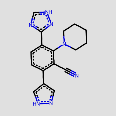 N#Cc1c(-c2cn[nH]c2)ccc(-c2nc[nH]n2)c1N1CCCCC1